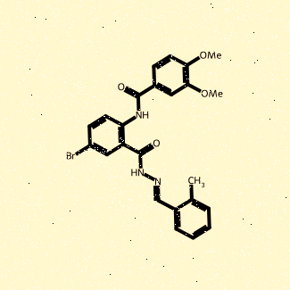 COc1ccc(C(=O)Nc2ccc(Br)cc2C(=O)NN=Cc2ccccc2C)cc1OC